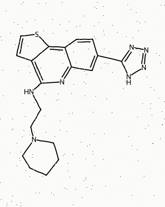 c1cc2c(NCCN3CCCCC3)nc3cc(-c4nnn[nH]4)ccc3c2s1